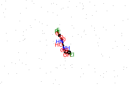 O=C(CO[C@H]1C[C@@H](OC(F)(F)F)C1)NC[C@@H](O)CCNC(=O)[C@@H]1C[C@H](O)c2cc(Cl)ccc2O1